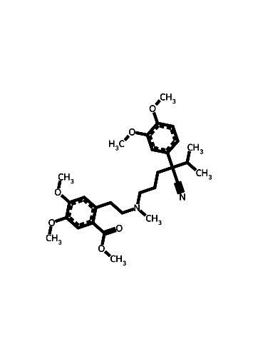 COC(=O)c1cc(OC)c(OC)cc1CCN(C)CCCC(C#N)(c1ccc(OC)c(OC)c1)C(C)C